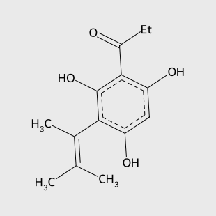 CCC(=O)c1c(O)cc(O)c(C(C)=C(C)C)c1O